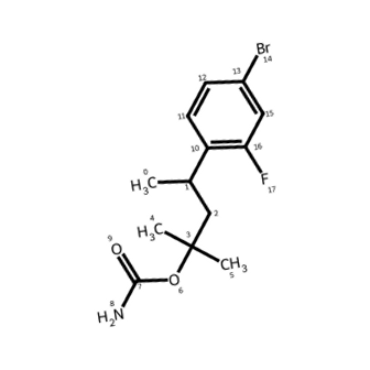 CC(CC(C)(C)OC(N)=O)c1ccc(Br)cc1F